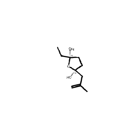 C=C(C)C[C@]1(O)CC[C@](O)(CC)O1